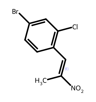 C/C(=C\c1ccc(Br)cc1Cl)[N+](=O)[O-]